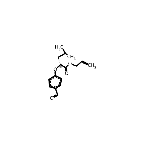 C=CCOC(=O)[C@@H](CC(C)C)Oc1ccc(C=O)cc1